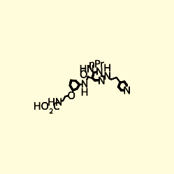 CCCNc1nc(NCCc2ccncc2)ncc1C(=O)Nc1cccc(OCCNC(=O)O)c1